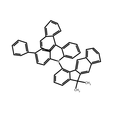 CC1(C)c2cc3ccccc3cc2-c2c(N(c3ccc(-c4ccccc4)cc3)c3ccccc3-c3cccc4ccccc34)cccc21